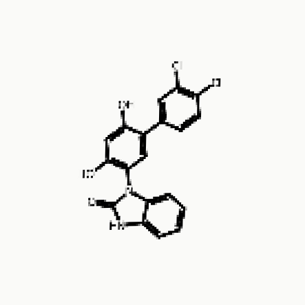 O=c1[nH]c2ccccc2n1-c1cc(-c2ccc(Cl)c(Cl)c2)c(O)cc1O